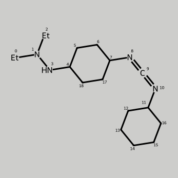 CCN(CC)NC1CCC(N=C=NC2CCCCC2)CC1